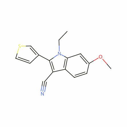 CCn1c(-c2ccsc2)c(C#N)c2ccc(OC)cc21